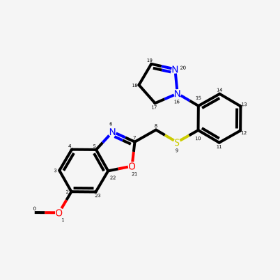 COc1ccc2nc(CSc3ccccc3N3CCC=N3)oc2c1